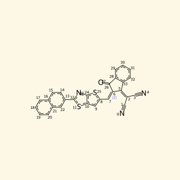 N#CC(C#N)=C1/C(=C/c2cc3sc(-c4ccc5ccccc5c4)nc3s2)C(=O)c2ccccc21